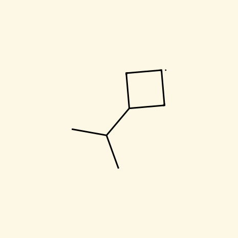 CC(C)C1C[CH]C1